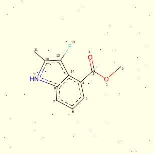 COC(=O)c1cccc2[nH]c(C)c(F)c12